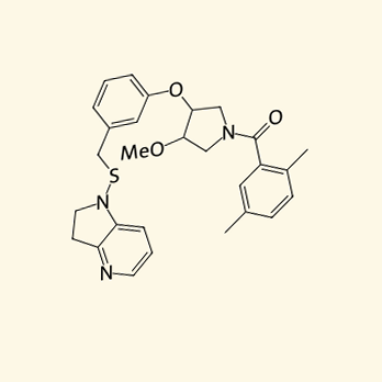 COC1CN(C(=O)c2cc(C)ccc2C)CC1Oc1cccc(CSN2CCc3ncccc32)c1